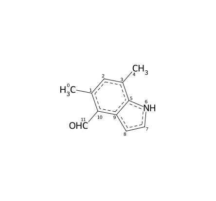 Cc1cc(C)c2[nH]ccc2c1C=O